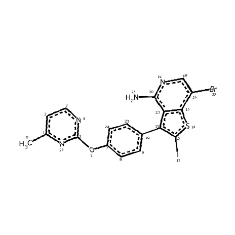 Cc1ccnc(Oc2ccc(-c3c(I)sc4c(Br)cnc(N)c34)cc2)n1